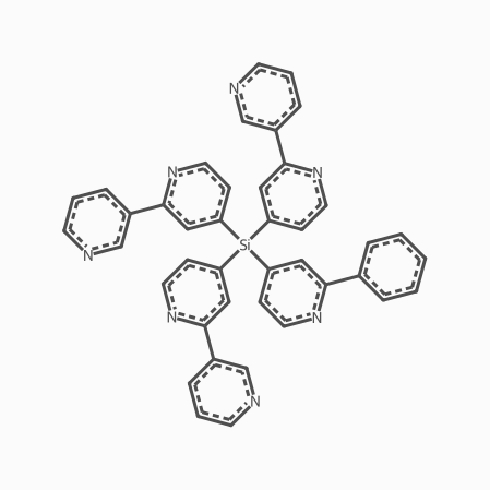 c1ccc(-c2cc([Si](c3ccnc(-c4cccnc4)c3)(c3ccnc(-c4cccnc4)c3)c3ccnc(-c4cccnc4)c3)ccn2)cc1